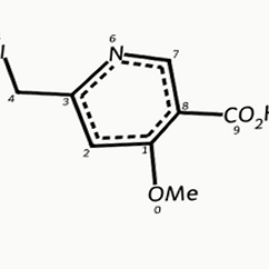 COc1cc(CI)ncc1C(=O)O